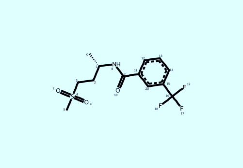 C[C@@H](CCS(C)(=O)=O)NC(=O)c1cccc(C(F)(F)F)c1